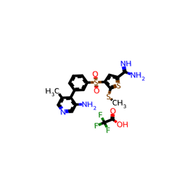 CSc1sc(C(=N)N)cc1S(=O)(=O)c1cccc(-c2c(C)cncc2N)c1.O=C(O)C(F)(F)F